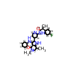 Cc1cn(C)c(=O)c2c(Nc3ccccc3)c(-c3ccnc(NC(=O)C(C)c4ccc(F)cc4)c3)[nH]c12